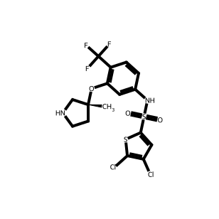 C[C@@]1(Oc2cc(NS(=O)(=O)c3cc(Cl)c(Cl)s3)ccc2C(F)(F)F)CCNC1